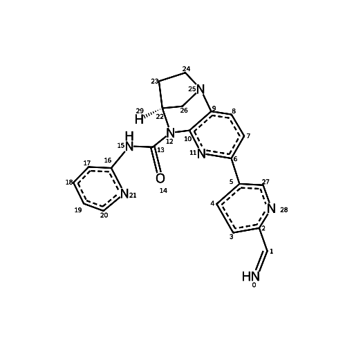 N=Cc1ccc(-c2ccc3c(n2)N(C(=O)Nc2ccccn2)[C@H]2CCN3C2)cn1